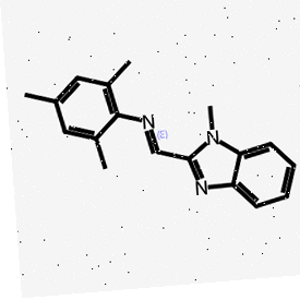 Cc1cc(C)c(/N=C/c2nc3ccccc3n2C)c(C)c1